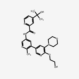 Cc1ncc(NC(=O)c2cc(C(C)(C)O)ccn2)cc1-c1cnc(OCCO)c(N2CCOCC2)c1